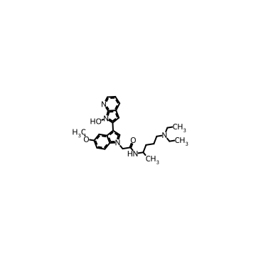 CCN(CC)CCCC(C)NC(=O)Cn1cc(-c2cc3cccnc3n2O)c2cc(OC)ccc21